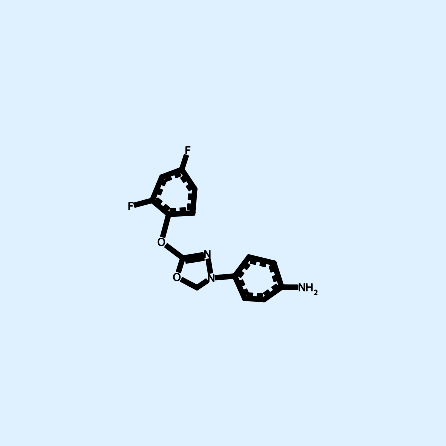 Nc1ccc(N2COC(Oc3ccc(F)cc3F)=N2)cc1